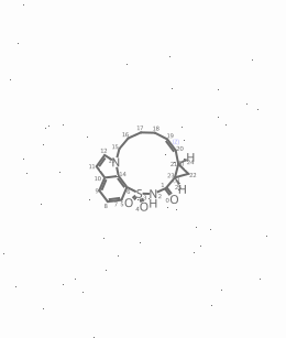 O=C1NS(=O)(=O)c2cccc3ccn(c23)CCCC/C=C\[C@@H]2C[C@H]12